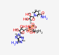 NC(=O)C1=CN([C@@H]2O[C@H](COP(=O)(O)OP(=O)(O)OC[C@H]3O[C@@H](n4cnc5c(N)ncnc54)[C@H](O)[C@@H]3O)[C@@H](O)[C@H]2O)C=CC1.[MgH2]